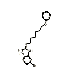 N#CN/C(=N/CCCCCCOc1ccccc1)Nc1cncc(Br)c1